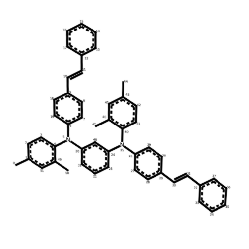 Cc1ccc(N(c2ccc(/C=C/c3ccccc3)cc2)c2cccc(N(c3ccc(/C=C/c4ccccc4)cc3)c3ccc(C)cc3C)c2)c(C)c1